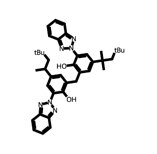 CC(CC(C)(C)C)c1cc(Cc2cc(C(C)(C)CC(C)(C)C)cc(-n3nc4ccccc4n3)c2O)c(O)c(-n2nc3ccccc3n2)c1